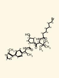 Cc1ncsc1-c1ccc(C(C)NC(=O)[C@@H]2C[C@@H](O)CN2C(=O)C(NC(=O)CCCCCCBr)C(C)(C)C)cc1